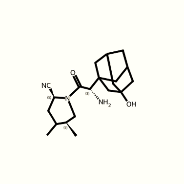 CC1C[C@@H](C#N)N(C(=O)[C@@H](N)C23CC4CC(CC(O)(C4)C2)C3)C[C@H]1C